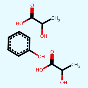 CC(O)C(=O)O.CC(O)C(=O)O.Oc1ccccc1